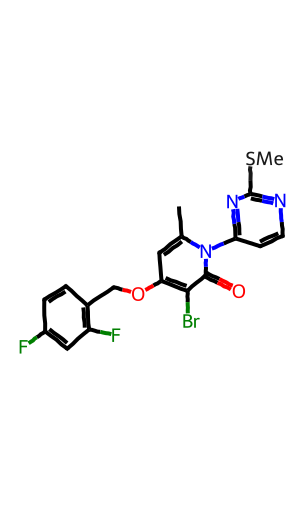 CSc1nccc(-n2c(C)cc(OCc3ccc(F)cc3F)c(Br)c2=O)n1